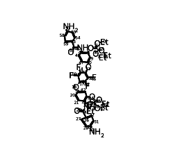 CCO[Si](OCC)(OCC)Oc1cc(Oc2c(F)c(F)c(Oc3ccc(NC(=O)c4ccc(N)cc4)c(O[Si](OCC)(OCC)OCC)c3)c(F)c2F)ccc1NC(=O)c1ccc(N)cc1